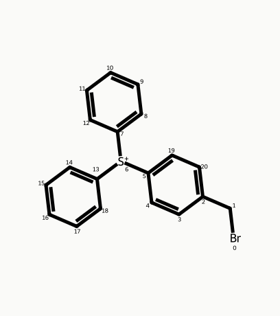 BrCc1ccc([S+](c2ccccc2)c2ccccc2)cc1